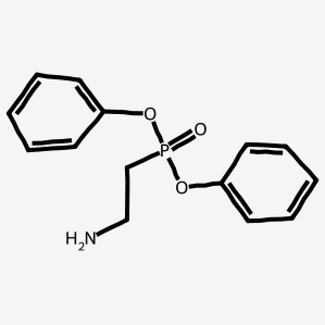 NCCP(=O)(Oc1ccccc1)Oc1ccccc1